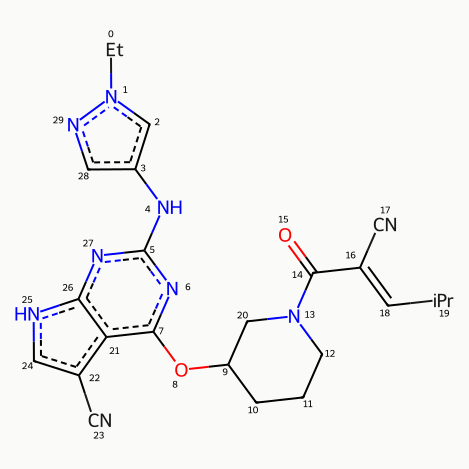 CCn1cc(Nc2nc(OC3CCCN(C(=O)C(C#N)=CC(C)C)C3)c3c(C#N)c[nH]c3n2)cn1